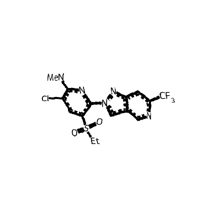 CCS(=O)(=O)c1cc(Cl)c(NC)nc1-n1cc2cnc(C(F)(F)F)cc2n1